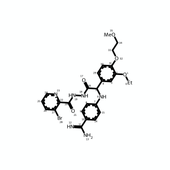 CCOc1cc(C(Nc2ccc(C(=N)N)cc2)C(=O)NNC(=O)c2ncccc2Br)ccc1OCCOC